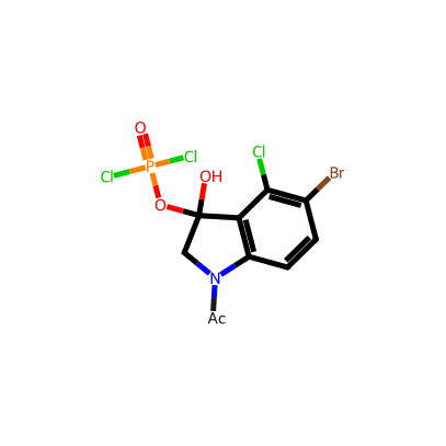 CC(=O)N1CC(O)(OP(=O)(Cl)Cl)c2c1ccc(Br)c2Cl